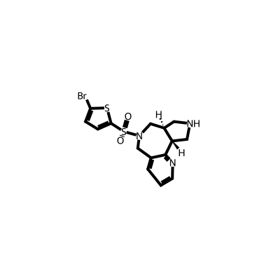 O=S(=O)(c1ccc(Br)s1)N1Cc2cccnc2[C@H]2CNC[C@@H]2C1